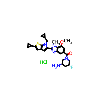 COc1cc(C(=O)N2C[C@H](N)C[C@@H](F)C2)cc2nc(-c3cc4cc(C5CC5)sc4n3CC3CC3)n(C)c12.Cl